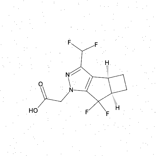 O=C(O)Cn1nc(C(F)F)c2c1C(F)(F)[C@@H]1CC[C@H]21